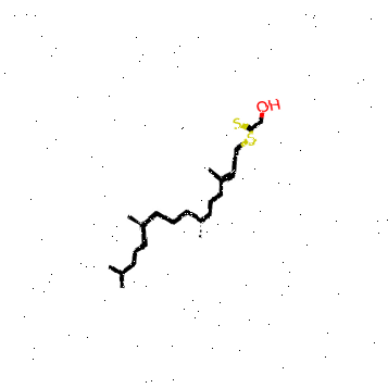 C/C(=C\CSC(=S)CO)CCC[C@H](C)CCC[C@H](C)CCCC(C)C